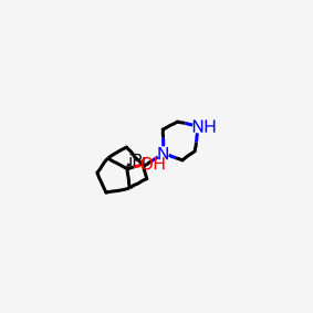 CC(C)C1(O)C2CCC1CC(N1CCNCC1)C2